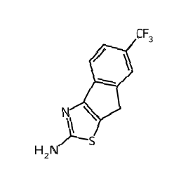 Nc1nc2c(s1)Cc1cc(C(F)(F)F)ccc1-2